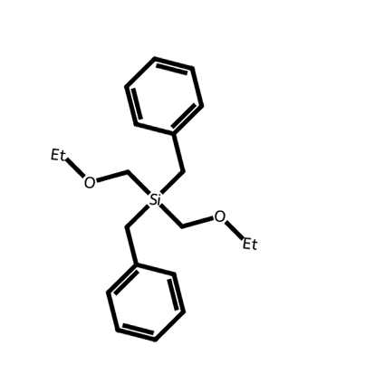 CCOC[Si](COCC)(Cc1ccccc1)Cc1ccccc1